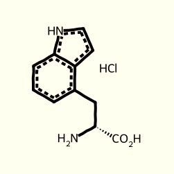 Cl.N[C@H](Cc1cccc2[nH]ccc12)C(=O)O